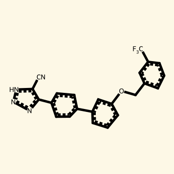 N#Cc1[nH]nnc1-c1ccc(-c2cccc(OCc3cccc(C(F)(F)F)c3)c2)cc1